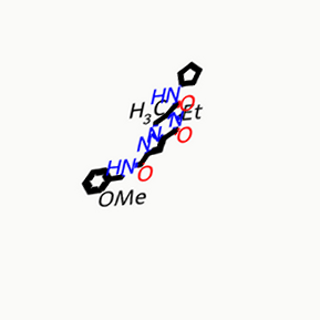 CCN1C(=O)c2cc(C(=O)NCc3ccccc3OC)nn2CC1(C)C(=O)NC1CCCC1